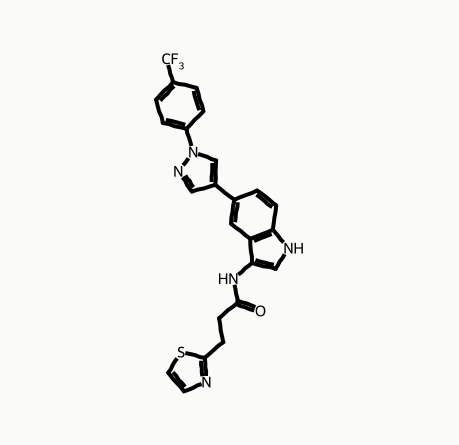 O=C(CCc1nccs1)Nc1c[nH]c2ccc(-c3cnn(-c4ccc(C(F)(F)F)cc4)c3)cc12